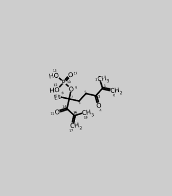 C=C(C)C(=O)CCC(CC)(OP(=O)(O)O)C(=O)C(=C)C